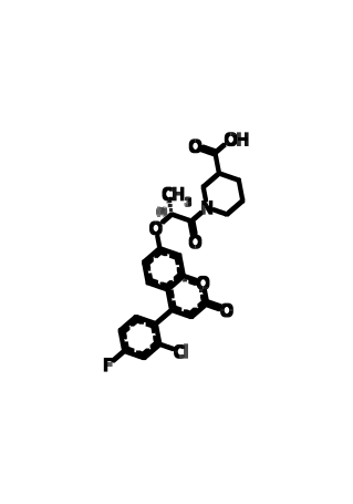 C[C@@H](Oc1ccc2c(-c3ccc(F)cc3Cl)cc(=O)oc2c1)C(=O)N1CCCC(C(=O)O)C1